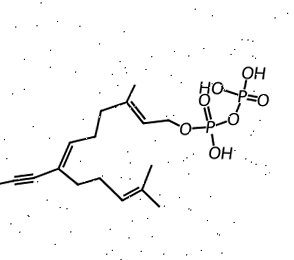 CC#CC(=CCCC(C)=CCOP(=O)(O)OP(=O)(O)O)CCC=C(C)C